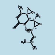 CO[C@@H]1C(=O)C=C(C)[C@]2(CO2)[C@H]1[C@@]1(C)O[C@@H]1C/C=C(\C)C(F)(F)F